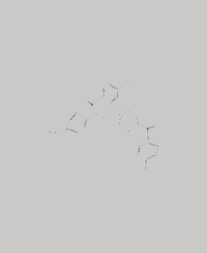 COc1ccc(N(CCN2CCC(C(=O)c3ccc(F)cc3)CC2)C(=O)c2ccc(NC(C)=O)cc2)cc1